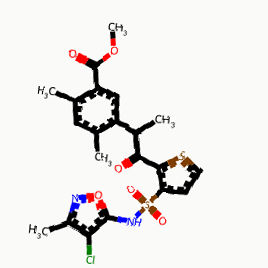 COC(=O)c1cc(C(C)C(=O)c2sccc2S(=O)(=O)Nc2onc(C)c2Cl)c(C)cc1C